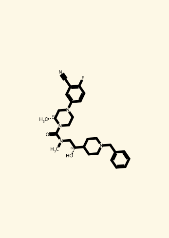 C[C@@H]1CN(c2ccc(F)c(C#N)c2)CCN1C(=O)N(C)C[C@@H](O)C1CCN(Cc2ccccc2)CC1